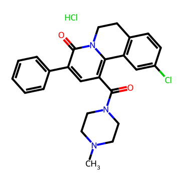 CN1CCN(C(=O)c2cc(-c3ccccc3)c(=O)n3c2-c2cc(Cl)ccc2CC3)CC1.Cl